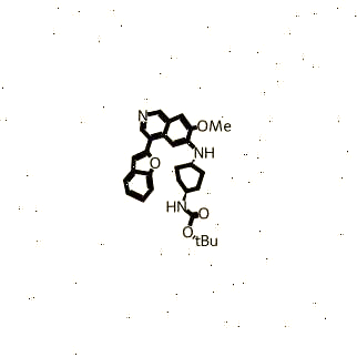 COc1cc2cncc(-c3cc4ccccc4o3)c2cc1N[C@H]1CC[C@H](NC(=O)OC(C)(C)C)CC1